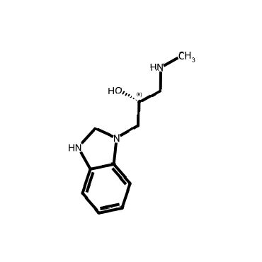 CNC[C@@H](O)CN1CNc2ccccc21